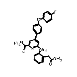 NC(=O)Cc1ccccc1Nc1cc(-c2ccc(Oc3ccc(F)cc3)cc2)cc(C(N)=O)n1